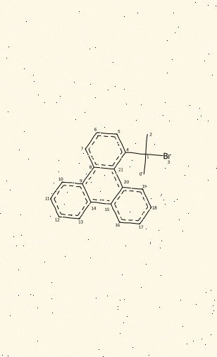 CC(C)(Br)c1cccc2c3ccccc3c3ccccc3c12